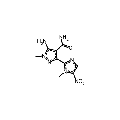 Cn1nc(-c2ncc([N+](=O)[O-])n2C)c(C(N)=O)c1N